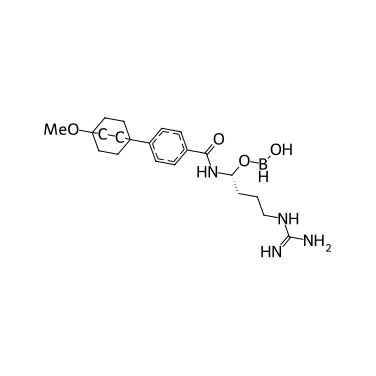 COC12CCC(c3ccc(C(=O)N[C@@H](CCCNC(=N)N)OBO)cc3)(CC1)CC2